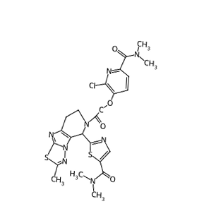 Cc1nn2c3c(nc2s1)CCN(C(=O)COc1ccc(C(=O)N(C)C)nc1Cl)C3c1ncc(C(=O)N(C)C)s1